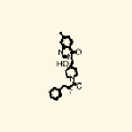 Cc1ccc2c(=O)n(CC3(O)CCN(C(=O)[C@@H](C)Cc4ccccc4)CC3)cnc2c1